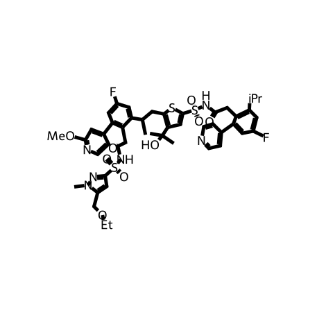 CCOCc1cc(S(=O)(=O)NC(=O)Cc2c(-c3ccnc(OC)c3)cc(F)cc2C(C)Cc2sc(S(=O)(=O)NC(=O)Cc3c(-c4ccncc4)cc(F)cc3C(C)C)cc2C(C)(C)O)nn1C